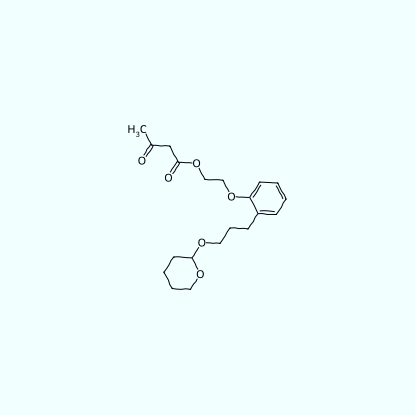 CC(=O)CC(=O)OCCOc1ccccc1CCCOC1CCCCO1